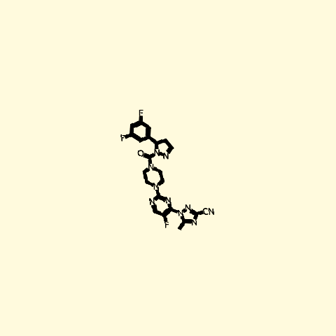 Cc1nc(C#N)nn1-c1nc(N2CCN(C(=O)N3N=CCC3c3cc(F)cc(F)c3)CC2)ncc1F